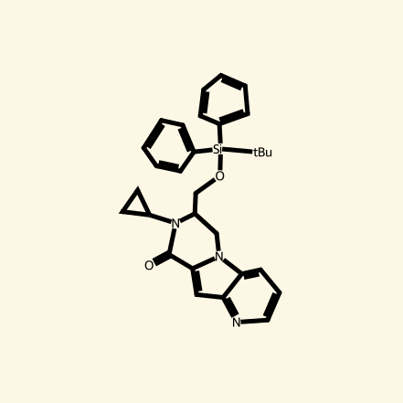 CC(C)(C)[Si](OCC1Cn2c(cc3ncccc32)C(=O)N1C1CC1)(c1ccccc1)c1ccccc1